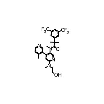 Cc1ccncc1-c1cc(N(C)CCO)ncc1N(C)C(=O)C(C)(C)c1cc(C(F)(F)F)cc(C(F)(F)F)c1